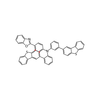 c1cc(-c2ccc3sc4ccccc4c3c2)cc(N(c2ccc(-c3nc4ccccc4o3)cc2)c2ccccc2-c2ccc3sc4ccccc4c3c2)c1